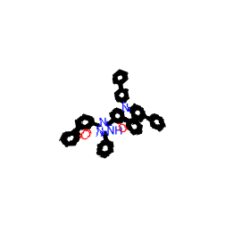 c1ccc(-c2ccc(N(c3ccc(-c4ccccc4)cc3)c3ccc(C4=NC(c5cccc6c5oc5ccccc56)=NC(c5ccccc5)N4)c4oc5ccccc5c34)cc2)cc1